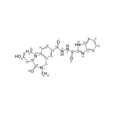 CN1Cc2cc(C(=O)NNC(=O)c3nc4ccccc4[nH]3)ccc2N(C)C(CC(=O)O)C1=O